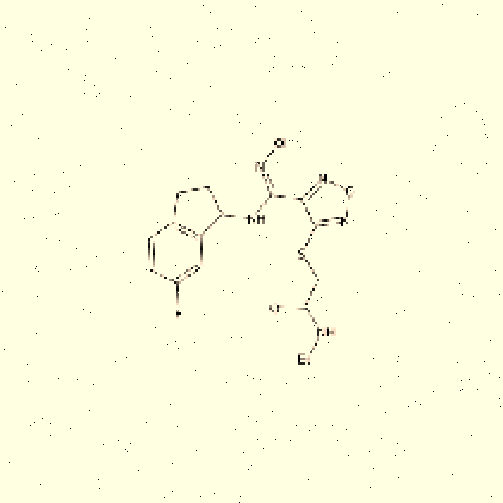 CCNC(=O)CSc1nonc1C(=NO)NC1CCc2ccc(F)cc21